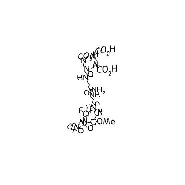 COc1cc2c(cc1-c1cncc(NC(=O)CCCNC(=O)[C@H](N)CCCCNC(=O)CN3CCN(CC(=O)O)CCN(CC(=O)O)CCN(CC(=O)O)CC3)c1)-c1c(c(C(=O)N3CCOCC3(C)C)nn1-c1cc(F)cc(F)c1)CO2